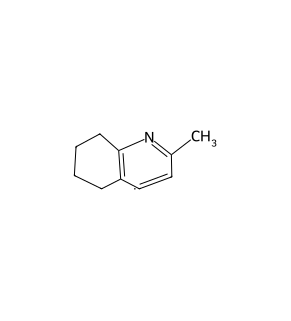 Cc1c[c]c2c(n1)CCCC2